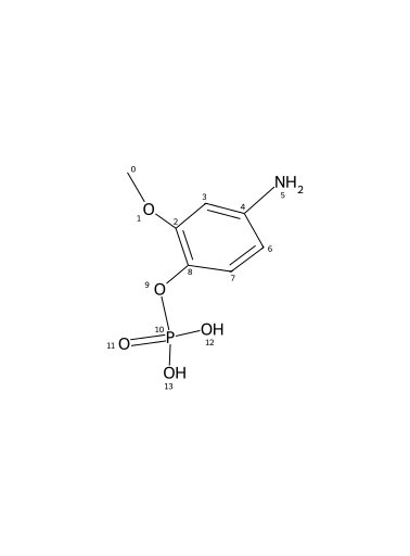 COc1cc(N)ccc1OP(=O)(O)O